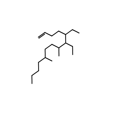 C=CCCC(CC)C(CC)C(C)CCC(C)CCCC